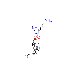 CC(C)CCC[C@@H](C)[C@H]1CC[C@H]2[C@@H]3CC=C4C[C@@H](OC(=O)N(CCCN)CCCCCCCCN)CC[C@]4(C)[C@H]3CC[C@]12C